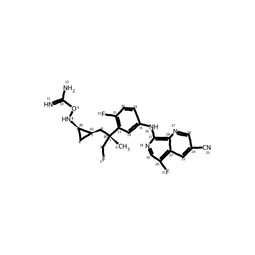 C[C@@](CF)(C[C@H]1C[C@H]1NOC(=N)N)c1cc(Nc2ncc(F)c3cc(C#N)cnc23)ccc1F